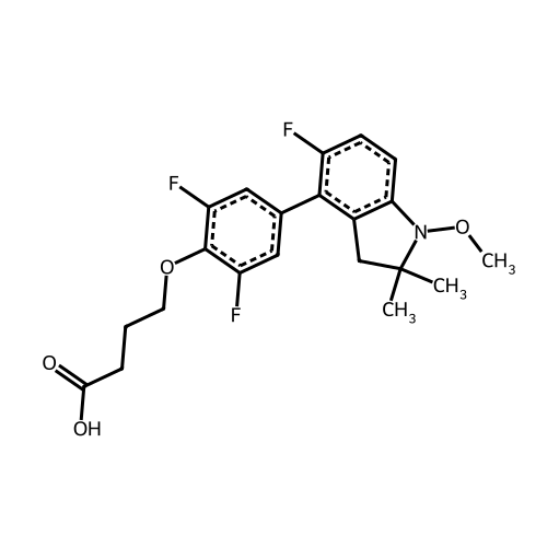 CON1c2ccc(F)c(-c3cc(F)c(OCCCC(=O)O)c(F)c3)c2CC1(C)C